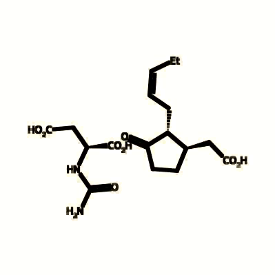 CC/C=C\C[C@H]1C(=O)CC[C@@H]1CC(=O)O.NC(=O)N[C@@H](CC(=O)O)C(=O)O